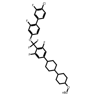 CCCCOC1CCC(C2CCC(c3cc(F)c(C(F)(F)Oc4ccc(-c5ccc(Cl)c(F)c5)c(F)c4)c(F)c3)CC2)CC1